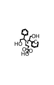 O=S(=O)(O)CCN(C(CO)c1ccccc1)C(CO)c1ccccc1